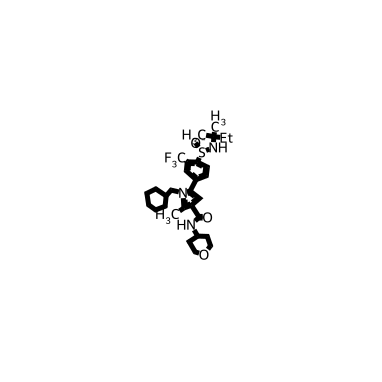 CCC(C)(C)N[S+]([O-])c1ccc(-c2cc(C(=O)NC3CCOCC3)c(C)n2CC2CCCCC2)cc1C(F)(F)F